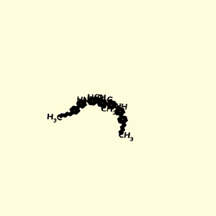 CCCCCc1ccc(-c2ccc(Nc3ccc(-c4cc(C)c(-c5ccc(Nc6ccc(-c7ccc(CCCCC)cc7)cc6)cc5C)cc4C)c(C)c3)cc2)cc1